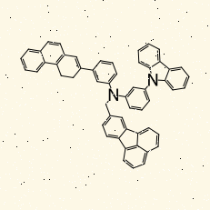 C1=C(c2cccc(N(Cc3ccc4c(c3)-c3cccc5cccc-4c35)c3cccc(-n4c5ccccc5c5ccccc54)c3)c2)CCc2c1ccc1ccccc21